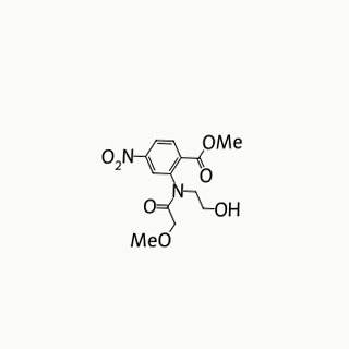 COCC(=O)N(CCO)c1cc([N+](=O)[O-])ccc1C(=O)OC